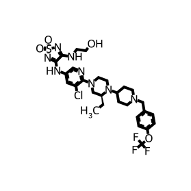 CC[C@H]1CN(c2ncc(NC3=NS(=O)(=O)N=C3NCCO)cc2Cl)CCN1C1CCN(Cc2ccc(OC(F)(F)F)cc2)CC1